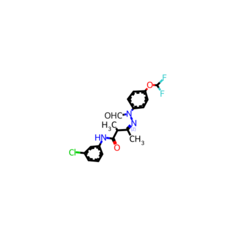 C/C(=N/N(C=O)c1ccc(OC(F)F)cc1)C(C)C(=O)Nc1cccc(Cl)c1